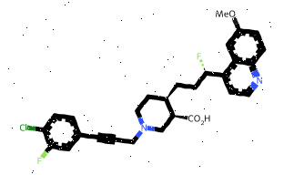 COc1ccc2nccc([C@@H](F)CC[C@@H]3CCN(CC#Cc4ccc(Cl)c(F)c4)C[C@@H]3C(=O)O)c2c1